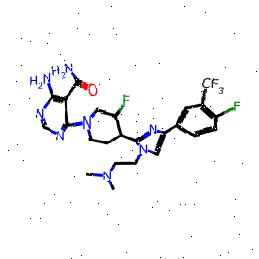 CN(C)CCn1cc(-c2ccc(F)c(C(F)(F)F)c2)nc1C1CCN(c2ncnc(N)c2C(N)=O)CC1F